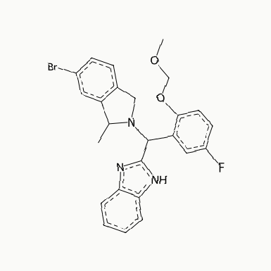 COCOc1ccc(F)cc1C(c1nc2ccccc2[nH]1)N1Cc2ccc(Br)cc2C1C